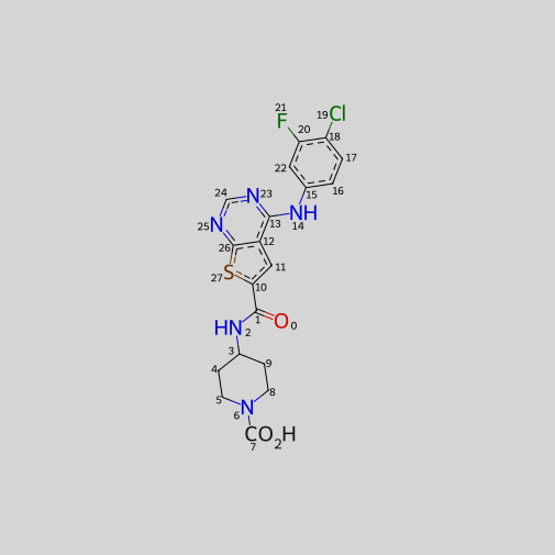 O=C(NC1CCN(C(=O)O)CC1)c1cc2c(Nc3ccc(Cl)c(F)c3)ncnc2s1